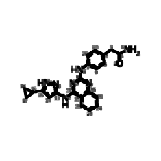 NC(=O)Cc1ccc(Nc2nc(Nc3cc(C4CC4)[nH]n3)c3ccccc3n2)cc1